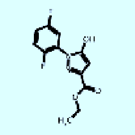 CCOC(=O)c1cc(O)n(-c2cc(F)ccc2F)n1